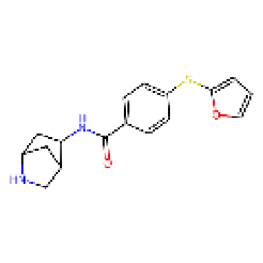 O=C(NC1CC2CC1CN2)c1ccc(Sc2ccco2)cc1